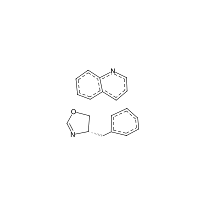 C1=N[C@@H](Cc2ccccc2)CO1.c1ccc2ncccc2c1